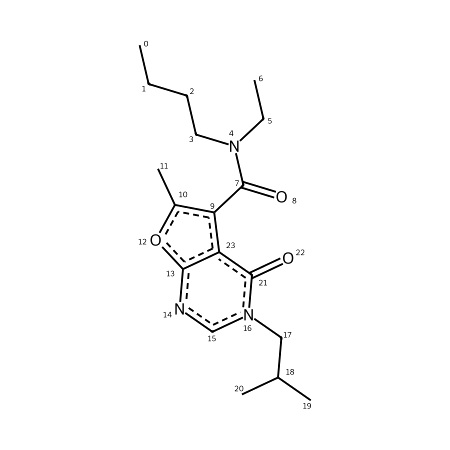 CCCCN(CC)C(=O)c1c(C)oc2ncn(CC(C)C)c(=O)c12